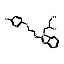 OCC(O)Cn1c(SCCOc2ccc(Cl)cc2)nc2ccccc21